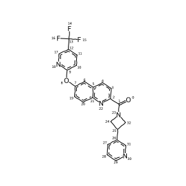 O=C(c1ccc2cc(Oc3ccc(C(F)(F)F)cn3)ccc2n1)N1CC(c2cccnc2)C1